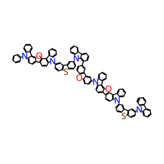 c1ccc2c3ccccc3n(-c3ccc4sc5ccc(-n6c7ccccc7c7c8oc9c(ccc%10c9c9ccccc9n%10-c9ccc%10oc%11ccc(-c%12cccc%13c%14ccccc%14n(-c%14ccc%15sc%16ccc(-n%17c%18ccccc%18c%18c%19oc%20c(ccc%21c%20c%20ccccc%20n%21-c%20ccccc%20)c%19ccc%18%17)cc%16c%15c%14)c%12%13)cc%11c%10c9)c8ccc76)cc5c4c3)c2c#1